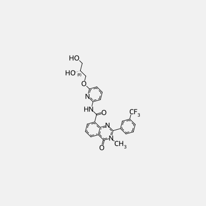 Cn1c(-c2cccc(C(F)(F)F)c2)nc2c(C(=O)Nc3cccc(OC[C@H](O)CO)n3)cccc2c1=O